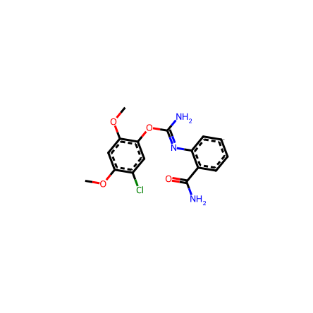 COc1cc(OC)c(OC(N)=Nc2c[c]ccc2C(N)=O)cc1Cl